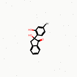 CC(C)c1ccc(C2(O)Cc3ccccc3C2=O)c(O)c1